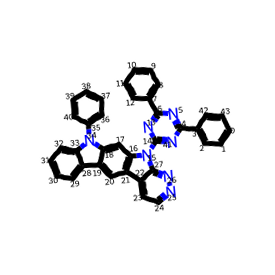 c1ccc(-c2nc(-c3ccccc3)nc(-n3c4cc5c(cc4c4ccnnc43)c3ccccc3n5-c3ccccc3)n2)cc1